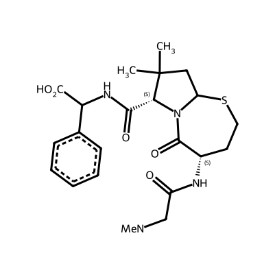 CNCC(=O)N[C@H]1CCSC2CC(C)(C)[C@@H](C(=O)NC(C(=O)O)c3ccccc3)N2C1=O